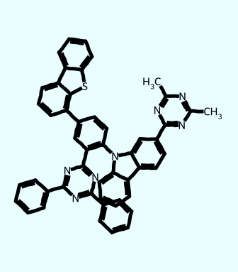 Cc1nc(C)nc(-c2ccc3c4ccccc4n(-c4ccc(-c5cccc6c5sc5ccccc56)cc4-c4nc(-c5ccccc5)nc(-c5ccccc5)n4)c3c2)n1